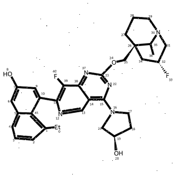 CCc1cccc2cc(O)cc(-c3ncc4c(N5CC[C@@H](O)C5)nc(OC[C@]56CCCN(C[C@H](F)C5)C6C)nc4c3F)c12